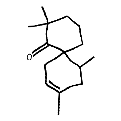 CC1=CCC2(CCCC(C)(C)C2=O)C(C)C1